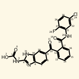 O=C(O)Nc1nc2ccc(C(=O)c3ccccc3C(=O)Nc3cc(Cl)ccc3F)cc2[nH]1